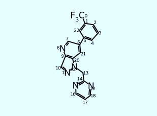 FC(F)(F)c1cccc(-c2cnc3cnn(Cc4ncccn4)c3c2)c1